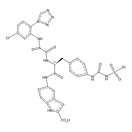 CCS(=O)(=O)NC(=O)Nc1ccc(C[C@H](NC(=O)C(=O)Nc2cc(Cl)ccc2-n2cnnn2)C(=O)Nc2ccc3[nH]c(C(=O)O)cc3c2)cc1